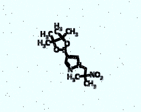 CC(C)(Cn1cc(B2OC(C)(C)C(C)(C)O2)cn1)[N+](=O)[O-]